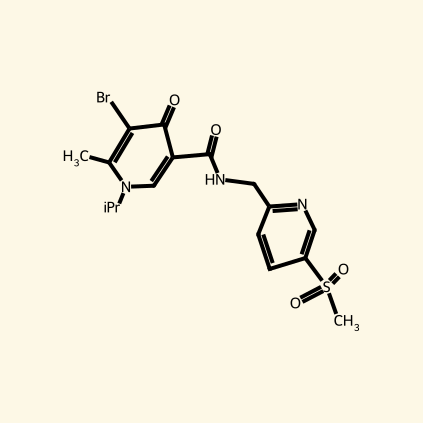 Cc1c(Br)c(=O)c(C(=O)NCc2ccc(S(C)(=O)=O)cn2)cn1C(C)C